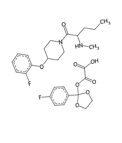 CCCC(NC)C(=O)N1CCC(Oc2ccccc2F)CC1.O=C(O)C(=O)OC1(c2ccc(F)cc2)OCCO1